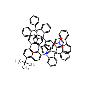 CC(C)(C)c1ccc(-c2cccc3c2B2c4ccccc4N(c4ccccc4[Si](c4ccccc4)(c4ccccc4)c4ccccc4)c4cc(-n5c6ccccc6c6ccccc65)cc(c42)N3c2ccccc2[Si](c2ccccc2)(c2ccccc2)c2ccccc2)cc1